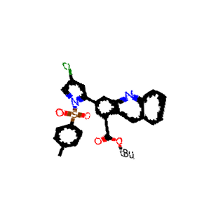 Cc1ccc(S(=O)(=O)n2cc(Cl)cc2-c2cc(C(=O)OC(C)(C)C)c3cc4ccccc4nc3c2)cc1